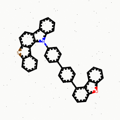 c1ccc2c(c1)oc1cccc(-c3ccc(-c4ccc(-n5c6ccccc6c6ccc7sc8ccccc8c7c65)cc4)cc3)c12